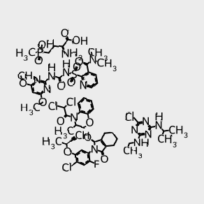 C#CC(C)Oc1cc(N2C(=O)C3=C(CCCC3)C2=O)c(F)cc1Cl.CC1COc2ccccc2N1C(=O)C(Cl)Cl.CCNc1nc(Cl)nc(NC(C)C)n1.COc1cc(OC)nc(NC(=O)NS(=O)(=O)c2ncccc2C(=O)N(C)C)n1.CP(=O)(O)CCC(N)C(=O)O